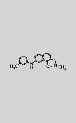 CN=Nc1ccc2ccc(Nc3cccc(C)c3)cc2c1O